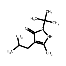 Cc1[nH]n(C(C)(C)C)c(=O)c1CC(C)C